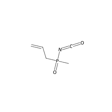 C=CCP(C)(=O)N=C=O